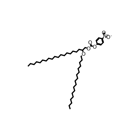 CCCCCCCCCCCCCCCCCCOC(CCCCCCCCCCCCCCCCCC)COC(=O)Oc1ccc([N+](=O)[O-])cc1